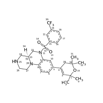 CC1(C)C=C(c2ccc3c(c2)N(S(=O)(=O)c2cccc(C(F)(F)F)c2)C[C@@H]2CNCCN32)CC(C)(C)O1